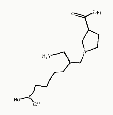 NCC(CCCCB(O)O)CN1CCC(C(=O)O)C1